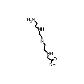 [NH]C(=O)CNCCNCCNCCN